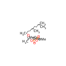 C=C(COC(C)CC/C=C(\C)CCC=C(C)C)COP(=O)(OC)OP(=O)(OC)OC